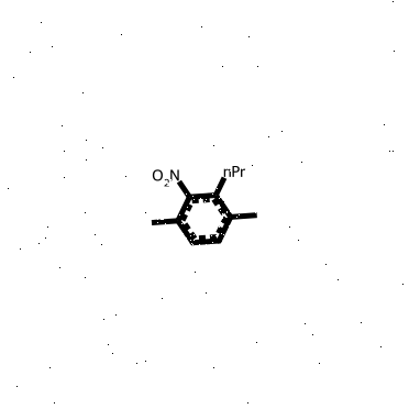 [CH2]CCc1c(C)ccc(C)c1[N+](=O)[O-]